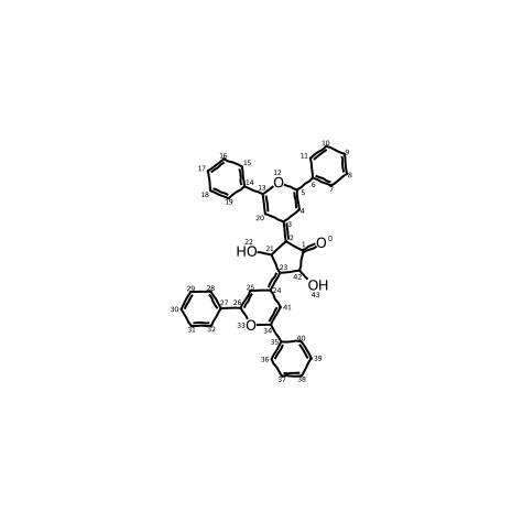 O=C1C(=C2C=C(c3ccccc3)OC(c3ccccc3)=C2)C(O)C(=C2C=C(c3ccccc3)OC(c3ccccc3)=C2)C1O